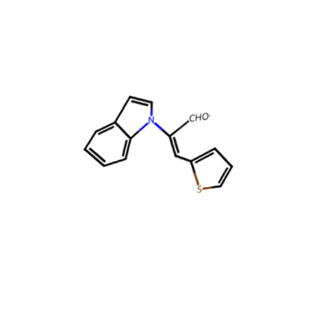 O=[C]C(=Cc1cccs1)n1ccc2ccccc21